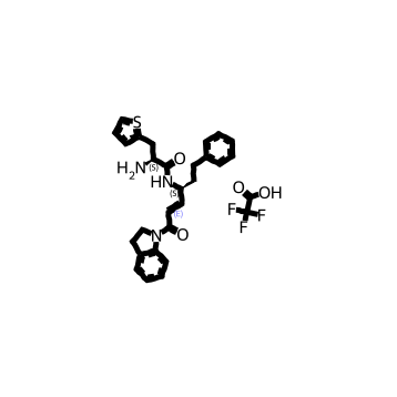 N[C@@H](Cc1cccs1)C(=O)N[C@H](/C=C/C(=O)N1CCc2ccccc21)CCc1ccccc1.O=C(O)C(F)(F)F